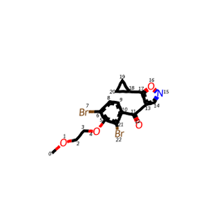 COCCOc1c(Br)ccc(C(=O)c2cnoc2C2CC2)c1Br